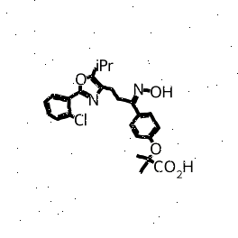 CC(C)c1oc(-c2ccccc2Cl)nc1CCC(=NO)c1ccc(OC(C)(C)C(=O)O)cc1